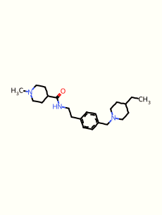 CCC1CCN(Cc2ccc(CCNC(=O)C3CCN(C)CC3)cc2)CC1